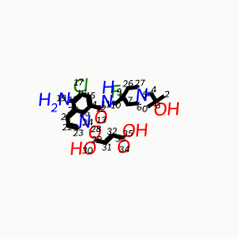 CC(C)(O)CN1CCC(F)(CNC(=O)c2cc(Cl)c(N)c3cccnc23)CC1.O=C(O)C=CC(=O)O